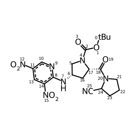 CC(C)(C)OC(=O)N1C[C@@H](Nc2ncc([N+](=O)[O-])cc2[N+](=O)[O-])C[C@H]1C(=O)N1CCCC1C#N